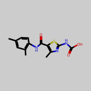 Cc1ccc(NC(=O)c2sc(NC(=O)O)nc2C)c(C)c1